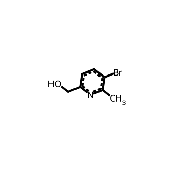 Cc1nc(CO)ccc1Br